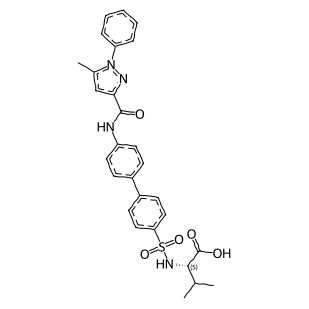 Cc1cc(C(=O)Nc2ccc(-c3ccc(S(=O)(=O)N[C@H](C(=O)O)C(C)C)cc3)cc2)nn1-c1ccccc1